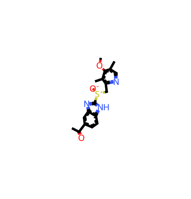 COc1c(C)cnc(C[S+]([O-])c2nc3cc(C(C)=O)ccc3[nH]2)c1C